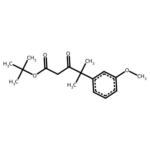 COc1cccc(C(C)(C)C(=O)CC(=O)OC(C)(C)C)c1